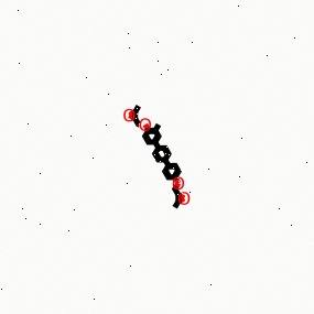 Cc1cc(C2C=CC(c3ccc(OCC4OC4C)cc3)C=C2)ccc1OCC1OC1C